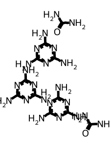 NC(N)=O.NC(N)=O.Nc1nc(N)nc(N)n1.Nc1nc(N)nc(N)n1.Nc1nc(N)nc(N)n1